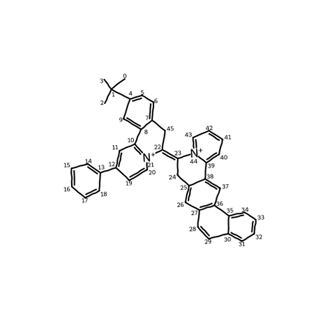 CC(C)(C)c1ccc2c(c1)-c1cc(-c3ccccc3)cc[n+]1/C(=C1\Cc3cc4ccc5ccccc5c4cc3-c3cccc[n+]31)C2